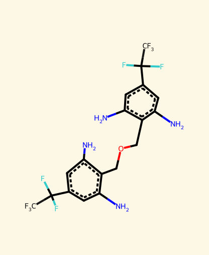 Nc1cc(C(F)(F)C(F)(F)F)cc(N)c1COCc1c(N)cc(C(F)(F)C(F)(F)F)cc1N